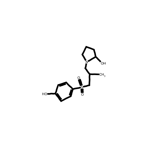 CC(CN1CCCC1O)CS(=O)(=O)c1ccc(O)cc1